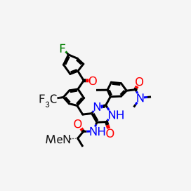 CN[C@@H](C)C(=O)Nc1c(Cc2cc(C(=O)c3ccc(F)cc3)cc(C(F)(F)F)c2)nc(-c2cc(C(=O)N(C)C)ccc2C)[nH]c1=O